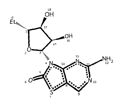 CC[C@H]1O[C@@H](n2c(=O)sc3cnc(N)nc32)[C@H](O)[C@@H]1O